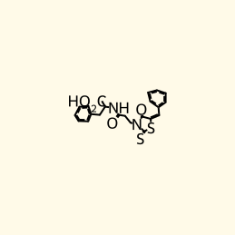 O=C(CCN1C(=O)/C(=C\c2ccccc2)SC1=S)NC(Cc1ccccc1)C(=O)O